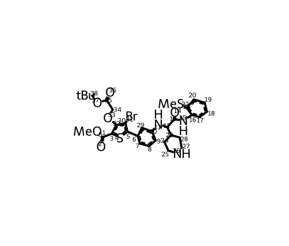 COC(=O)c1sc(-c2cccc(NC(C(=O)Nc3ccccc3SC)C3CCNCC3)c2)c(Br)c1OCC(=O)OC(C)(C)C